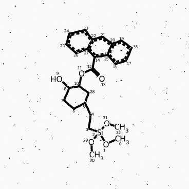 CO[Si](CCC1CCC(O)C(OC(=O)c2c3ccccc3cc3ccccc23)C1)(OC)OC